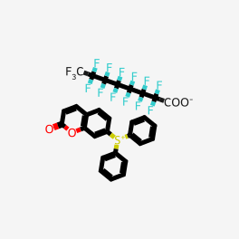 O=C([O-])C(F)(F)C(F)(F)C(F)(F)C(F)(F)C(F)(F)C(F)(F)C(F)(F)F.O=c1ccc2ccc([S+](c3ccccc3)c3ccccc3)cc2o1